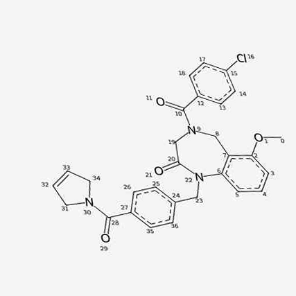 COc1cccc2c1CN(C(=O)c1ccc(Cl)cc1)CC(=O)N2Cc1ccc(C(=O)N2CC=CC2)cc1